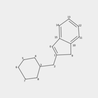 C1=C(CC2CCCCC2)Cc2ccccc21